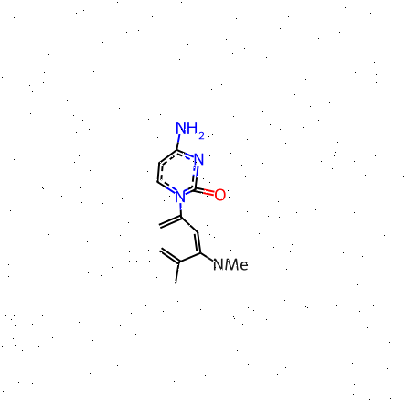 C=C(C)/C(=C\C(=C)n1ccc(N)nc1=O)NC